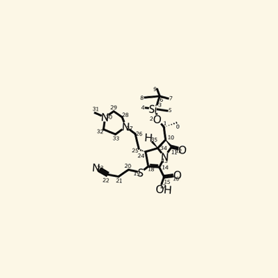 C[C@@H](O[Si](C)(C)C(C)(C)C)[C@H]1C(=O)N2C(C(=O)O)=C(SCCC#N)[C@H](CCN3CCN(C)CC3)[C@H]12